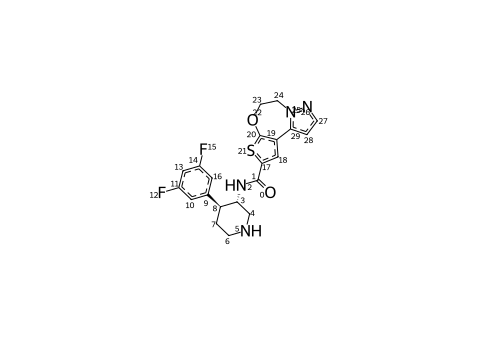 O=C(N[C@@H]1CNCC[C@H]1c1cc(F)cc(F)c1)c1cc2c(s1)OCCn1nccc1-2